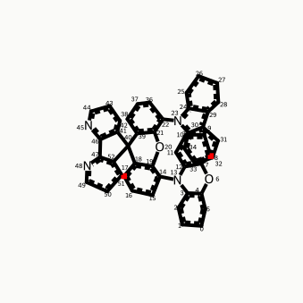 c1ccc2c(c1)Oc1ccccc1N2c1cccc2c1Oc1c(-n3c4ccccc4c4ccccc43)cccc1C21c2cccnc2-c2ncccc21